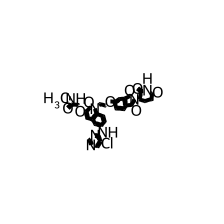 CNC(=O)COc1cc2cc(Nc3ncncc3Cl)ccc2n(CCOc2ccc3c(c2)C(=O)N(C2CCC(=O)NC2=O)C3=O)c1=O